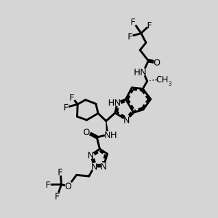 C[C@@H](NC(=O)CCC(F)(F)F)c1ccc2nc([C@@H](NC(=O)c3cnn(CCOC(F)(F)F)n3)C3CCC(F)(F)CC3)[nH]c2c1